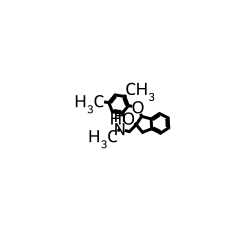 CNCC1(O)Cc2ccccc2C1Oc1ccc(C)cc1C